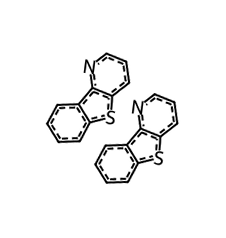 c1ccc2c(c1)sc1cccnc12.c1ccc2c(c1)sc1cccnc12